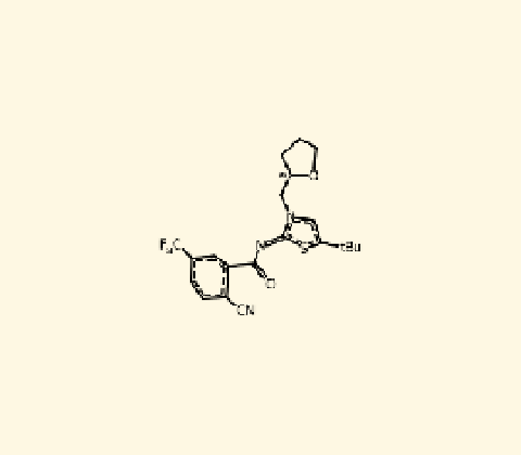 CC(C)(C)c1cn(C[C@H]2CCCO2)c(=NC(=O)c2cc(C(F)(F)F)ccc2C#N)s1